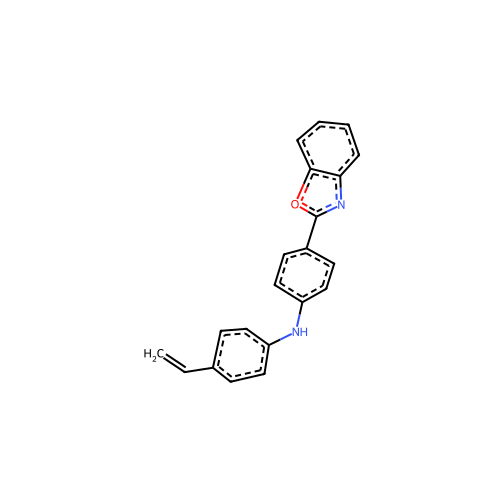 C=Cc1ccc(Nc2ccc(-c3nc4ccccc4o3)cc2)cc1